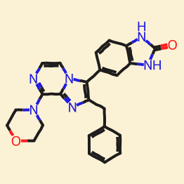 O=c1[nH]c2ccc(-c3c(Cc4ccccc4)nc4c(N5CCOCC5)nccn34)cc2[nH]1